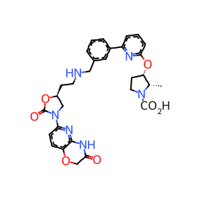 C[C@H]1[C@@H](Oc2cccc(-c3cccc(CNCC[C@H]4CN(c5ccc6c(n5)NC(=O)CO6)C(=O)O4)c3)n2)CCN1C(=O)O